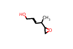 CC(C=CCO)C1CO1